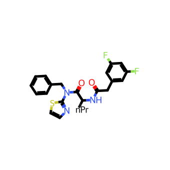 CCCC(NC(=O)Cc1cc(F)cc(F)c1)C(=O)N(Cc1ccccc1)c1nccs1